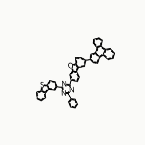 c1ccc(-c2nc(-c3ccc4c(c3)oc3ccc(-c5ccc6c7ccccc7c7ccccc7c6c5)cc34)nc(-c3ccc4sc5ccccc5c4c3)n2)cc1